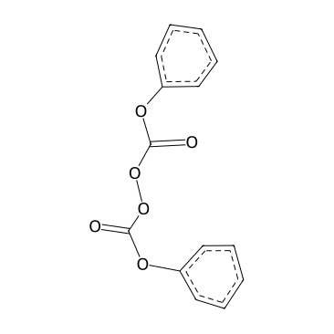 O=C(OOC(=O)Oc1ccccc1)Oc1ccccc1